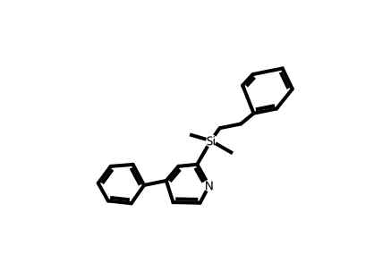 C[Si](C)(CCc1ccccc1)c1cc(-c2ccccc2)ccn1